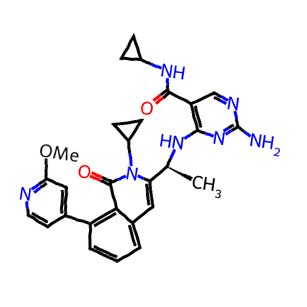 COc1cc(-c2cccc3cc([C@H](C)Nc4nc(N)ncc4C(=O)NC4CC4)n(C4CC4)c(=O)c23)ccn1